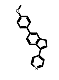 COc1ccc(-c2ccc3c(c2)CC=C3c2ccncc2)cc1